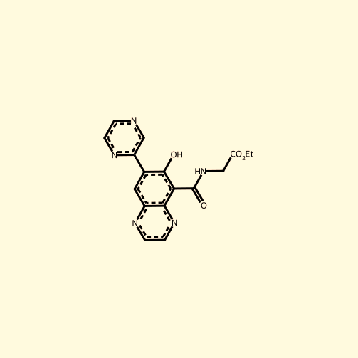 CCOC(=O)CNC(=O)c1c(O)c(-c2cnccn2)cc2nccnc12